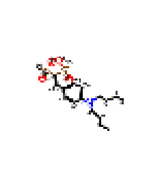 CCCCN(CCCC)c1ccc(C=C(S(C)(=O)=O)S(C)(=O)=O)cc1